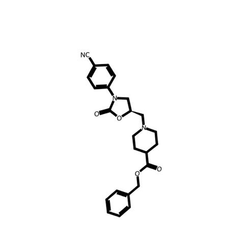 N#Cc1ccc(N2C[C@@H](CN3CCC(C(=O)OCc4ccccc4)CC3)OC2=O)cc1